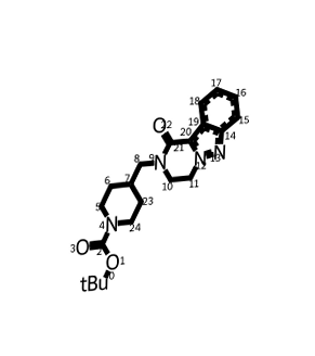 CC(C)(C)OC(=O)N1CCC(CN2CCn3nc4ccccc4c3C2=O)CC1